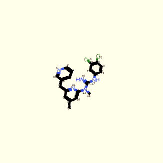 Cc1cc(Cc2cccnc2)nc(N(C)C(=N)Nc2ccc(Cl)c(Cl)c2)c1